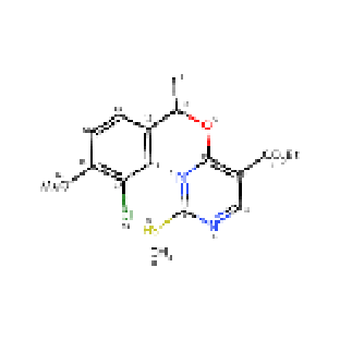 C.CCOC(=O)c1cnc(S)nc1OC(C)c1ccc(OC)c(Cl)c1